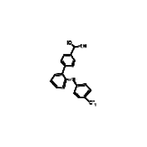 CC(O)c1ccc(-c2ccccc2Nc2ccc(C(F)(F)F)cc2)cc1